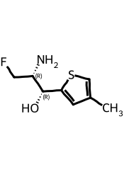 Cc1csc([C@H](O)[C@@H](N)CF)c1